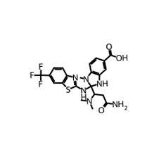 CN(C)C(CC(N)=O)C1(Nc2nc3ccc(C(F)(F)F)cc3s2)Nc2cc(C(=O)O)ccc2N1C